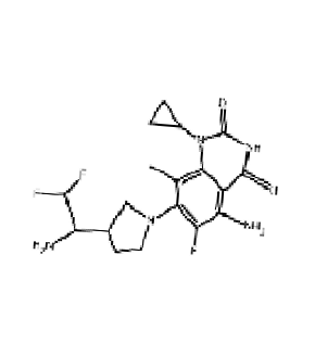 Cc1c(N2CCC(C(N)C(F)F)C2)c(F)c(N)c2c(=O)[nH]c(=O)n(C3CC3)c12